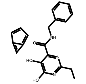 CCc1nc(O)c(O)c(C(=O)NCc2ccccc2)n1.c1cc2cc-2c1